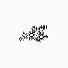 O=CN1CCOC(c2cc(Nc3ncc4cc(Br)cc(OC5CCNCC5)c4n3)cc(N3CCOCC3)c2)C1